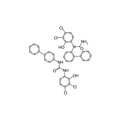 NC(=O)N(c1ccccc1-c1ccccc1)c1ccc(Cl)c(Cl)c1O.O=C(Nc1ccc(-c2ccccc2)cc1)Nc1ccc(Cl)c(Cl)c1O